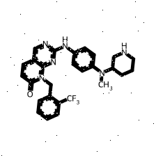 CN(c1ccc(Nc2ncc3ccc(=O)n(Cc4ccccc4C(F)(F)F)c3n2)cc1)C1CCCNC1